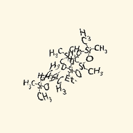 C[CH][Si](O[Si](C)(C)C)(O[Si](C)(C)O[Si](C)(C)C)O[Si](C)(C)O[Si](C)(C)C